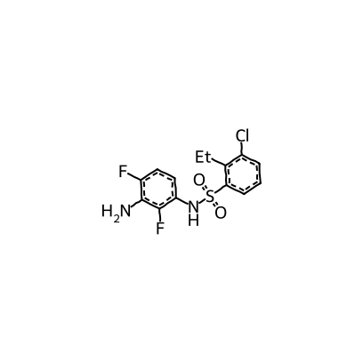 CCc1c(Cl)cccc1S(=O)(=O)Nc1ccc(F)c(N)c1F